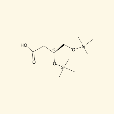 C[Si](C)(C)OC[C@H](CC(=O)O)O[Si](C)(C)C